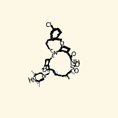 CO[C@]1(CN2C[C@@H](C)N[C@@H](C)C2)/C=C/C[C@H](C)[C@@H](C)S(=O)(=O)NC(=O)c2ccc3c(c2)N(CCCCc2cc(Cl)ccc2CO3)CC2CC[C@H]21